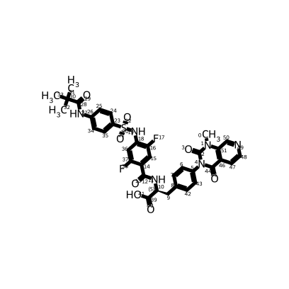 Cn1c(=O)n(-c2ccc(C[C@H](NC(=O)c3cc(F)c(NS(=O)(=O)c4ccc(NC(=O)C(C)(C)C)cc4)cc3F)C(=O)O)cc2)c(=O)c2ccncc21